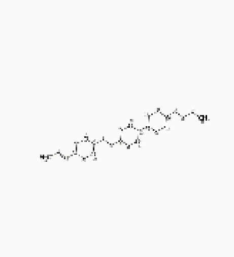 CC=CC1COC(CCC2COC(C3CCC(CCCC)CC3)OC2)OC1